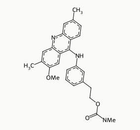 CNC(=O)OCCc1cccc(Nc2c3ccc(C)cc3nc3cc(C)c(OC)cc23)c1